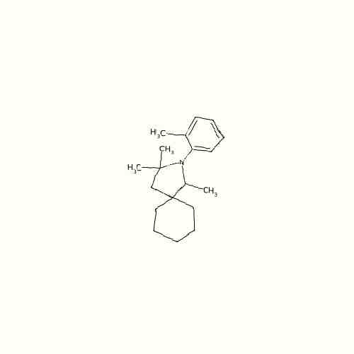 Cc1ccccc1N1C(C)C2(CCCCC2)CC1(C)C